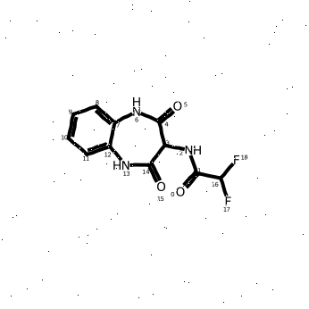 O=C(NC1C(=O)Nc2ccccc2NC1=O)C(F)F